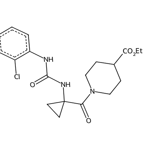 CCOC(=O)C1CCN(C(=O)C2(NC(=O)Nc3ccccc3Cl)CC2)CC1